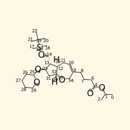 CC(C)OC(=O)CCCC1=CC[C@@H]2[C@@H](CO[Si](C)(C)C(C)(C)C)[C@H](OC3CCCCO3)C[C@H]2OC1